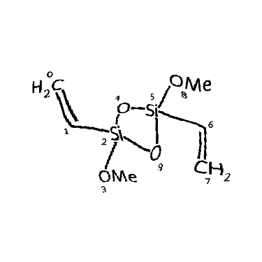 C=C[Si]1(OC)O[Si](C=C)(OC)O1